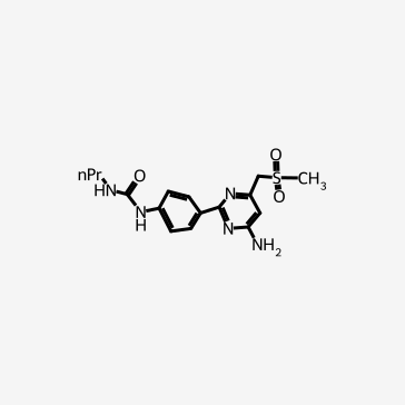 CCCNC(=O)Nc1ccc(-c2nc(N)cc(CS(C)(=O)=O)n2)cc1